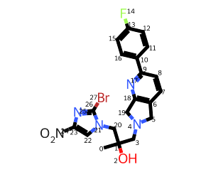 CC(O)(CN1Cc2ccc(-c3ccc(F)cc3)nc2C1)Cn1cc([N+](=O)[O-])nc1Br